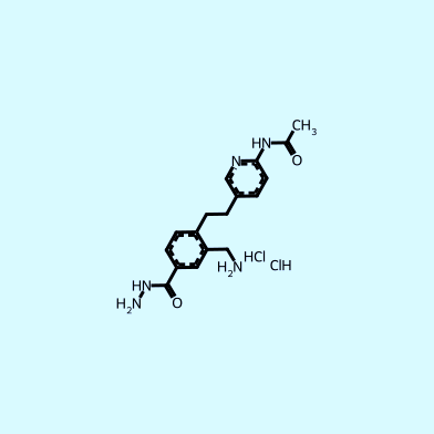 CC(=O)Nc1ccc(CCc2ccc(C(=O)NN)cc2CN)cn1.Cl.Cl